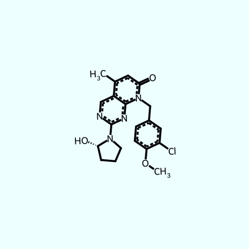 COc1ccc(Cn2c(=O)cc(C)c3cnc(N4CCC[C@@H]4O)nc32)cc1Cl